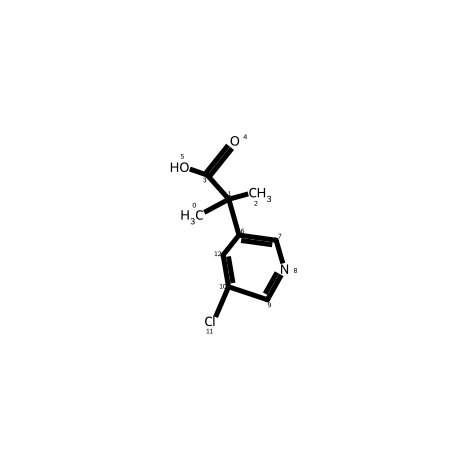 CC(C)(C(=O)O)c1cncc(Cl)c1